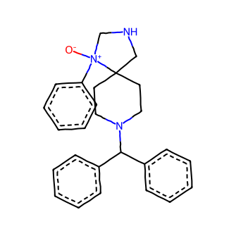 [O-][N+]1(c2ccccc2)CNCC12CCN(C(c1ccccc1)c1ccccc1)CC2